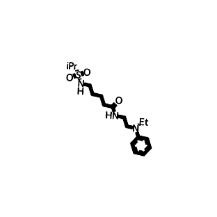 CCN(CCNC(=O)CCCCNS(=O)(=O)C(C)C)c1ccccc1